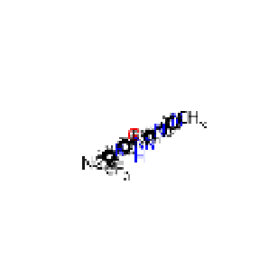 CN1CCC2(CC1)CN(c1ccc(NC(=O)C3CCN(c4ccc(C#N)c(C(F)(F)F)c4)CC3)nc1)C2